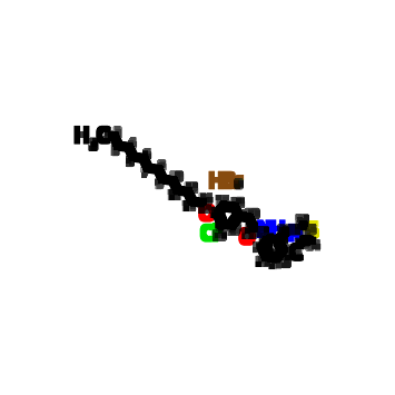 Br.CCCCCCCCCCCCCCOc1ccc(CC(=O)Nc2ccccc2CN2CSC=C2C)cc1Cl